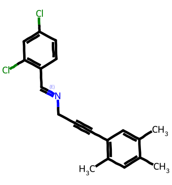 Cc1cc(C)c(C#CC/N=C/c2ccc(Cl)cc2Cl)cc1C